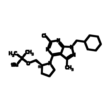 Cc1nn(CC2CCCCC2)c2nc(Cl)nc(N3CCC[C@H]3CO[Si](C)(C)C(C)(C)C)c12